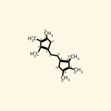 CC1=C(C)C(C)=C(CCC2=C(C)C(C)=C(C)C2)C1